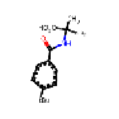 CCCC(C)(NC(=O)c1ccc(C(C)(C)C)cc1)C(=O)O